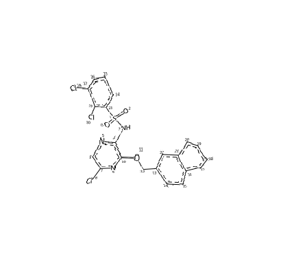 O=S(=O)(Nc1ncc(Cl)nc1OCc1ccc2ccccc2c1)c1cccc(Cl)c1Cl